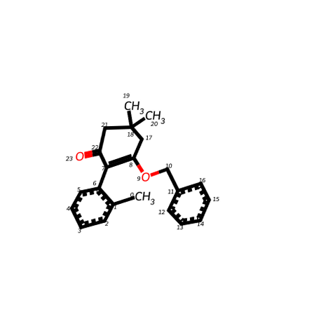 Cc1ccccc1C1=C(OCc2ccccc2)CC(C)(C)CC1=O